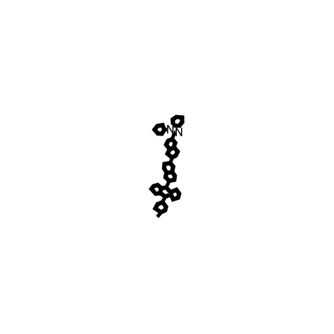 Cc1ccc(-c2c3ccccc3c(-c3ccc4cc(-c5ccc6cc(-c7nc8ccccc8n7-c7ccccc7)ccc6c5)ccc4c3)c3ccccc23)cc1